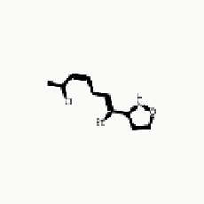 CC/C(=C\C/C=C\C(C)Cl)C1CCON1